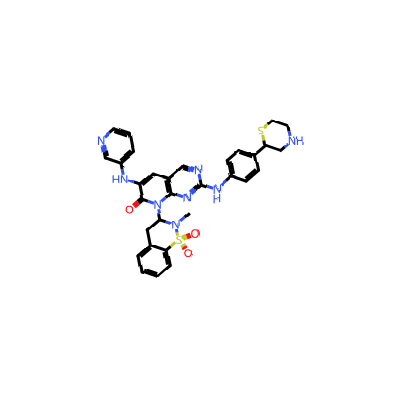 CN1C(n2c(=O)c(Nc3cccnc3)cc3cnc(Nc4ccc(C5CNCCS5)cc4)nc32)Cc2ccccc2S1(=O)=O